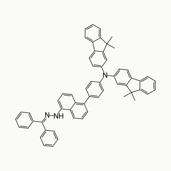 CC1(C)c2ccccc2-c2ccc(N(c3ccc(-c4cccc5c(NN=C(c6ccccc6)c6ccccc6)cccc45)cc3)c3ccc4c(c3)C(C)(C)c3ccccc3-4)cc21